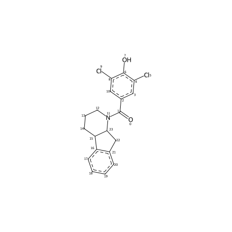 O=C(c1cc(Cl)c(O)c(Cl)c1)N1CCCC2c3ccccc3CC21